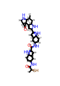 CC(S)C(=O)Nc1ccc2[nH]c(C(=O)Nc3ccc4[nH]c(C5C=C6C(CC(C)C7NCC8C(=O)C687)N5)cc4c3)cc2c1